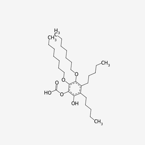 CCCCCCCOc1c(CCCCC)c(CCCCC)c(O)c(OC(=O)O)c1OCCCCCCC